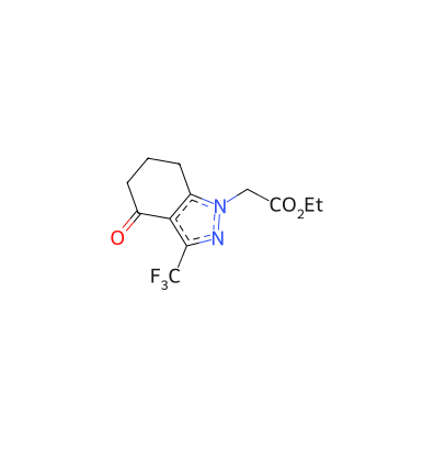 CCOC(=O)Cn1nc(C(F)(F)F)c2c1CCCC2=O